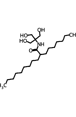 CCCCCCCCCC(CCCCCCC)C(=O)NC(CO)(CO)CO